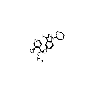 C[C@@H](Oc1ccc2c(c1)c(I)nn2C1CCCCO1)c1ccncc1Cl